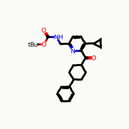 CC(C)(C)OC(=O)NCc1ccc(C2CC2)c(C(=O)C2CCC(c3ccccc3)CC2)n1